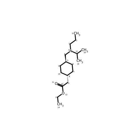 CCCN(C[C@H]1CC[C@H](CC(=O)OCC)CC1)C(C)C